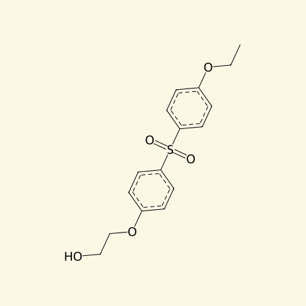 CCOc1ccc(S(=O)(=O)c2ccc(OCCO)cc2)cc1